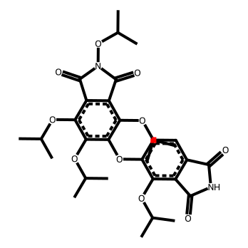 CC(C)Oc1c(Oc2ccc3c(c2OC(C)C)C(=O)NC3=O)c(OC(C)C)c2c(c1OC(C)C)C(=O)N(OC(C)C)C2=O